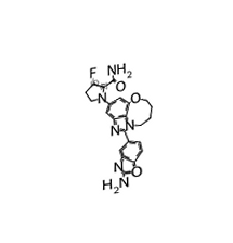 NC(=O)[C@@H]1[C@@H](F)CCN1c1cc2c3c(c1)nc(-c1ccc4oc(N)nc4c1)n3CCCCO2